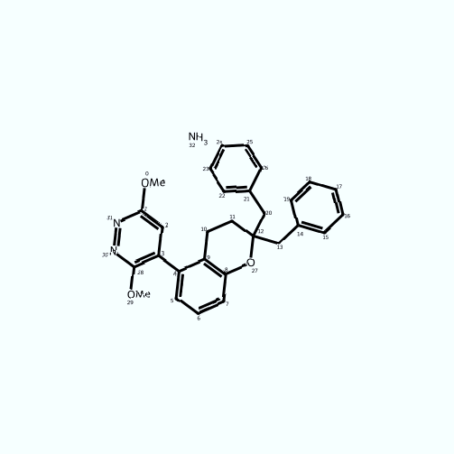 COc1cc(-c2cccc3c2CCC(Cc2ccccc2)(Cc2ccccc2)O3)c(OC)nn1.N